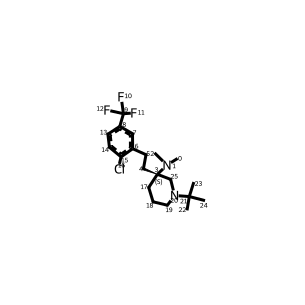 CN(C)[C@@]1(CCc2cc(C(F)(F)F)ccc2Cl)CCCN(C(C)(C)C)C1